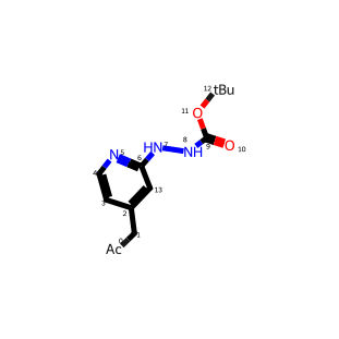 CC(=O)Cc1ccnc(NNC(=O)OC(C)(C)C)c1